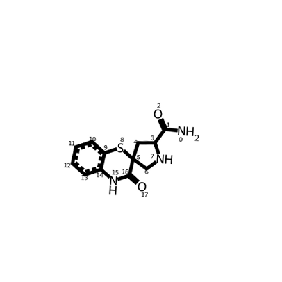 NC(=O)C1CC2(CN1)Sc1ccccc1NC2=O